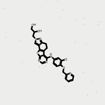 OCC(O)Cn1cc2c(n1)CCc1c-2sc2ncnc(Nc3ccc(OCc4ccccn4)c(Cl)c3)c12